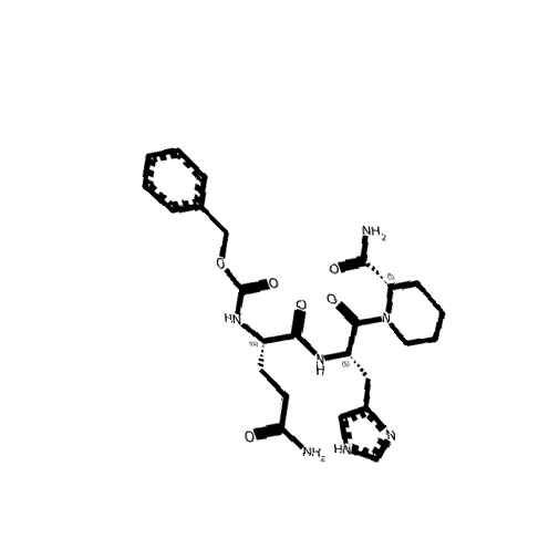 NC(=O)CC[C@H](NC(=O)OCc1ccccc1)C(=O)N[C@@H](Cc1c[nH]cn1)C(=O)N1CCCC[C@H]1C(N)=O